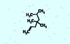 C=CCC(C)(C)CC(C)C